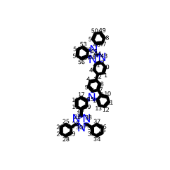 C1=CC(c2ccc3c(c2)c2ccccc2n3-c2cccc(-c3nc(-c4ccccc4)nc(-c4ccccc4)n3)c2)Cc2c1nc1n(-c3ccccc3)c3ccccc3n21